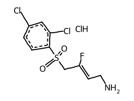 Cl.NC/C=C(\F)CS(=O)(=O)c1ccc(Cl)cc1Cl